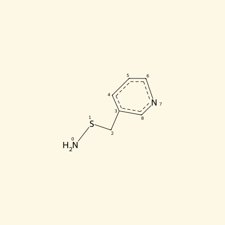 NSCc1cccnc1